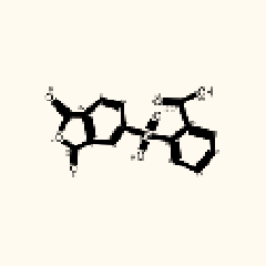 O=C1OC(=O)c2cc(S(=O)(=O)c3ccccc3C(=O)O)ccc21